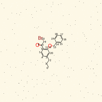 CCCc1ccc(C(=O)CBr)c(OCc2ccccc2)c1